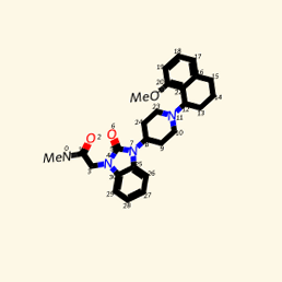 CNC(=O)Cn1c(=O)n(C2CCN(C3CCCc4cccc(OC)c43)CC2)c2ccccc21